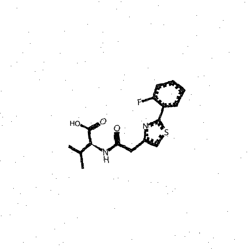 CC(C)[C@H](NC(=O)Cc1csc(-c2ccccc2F)n1)C(=O)O